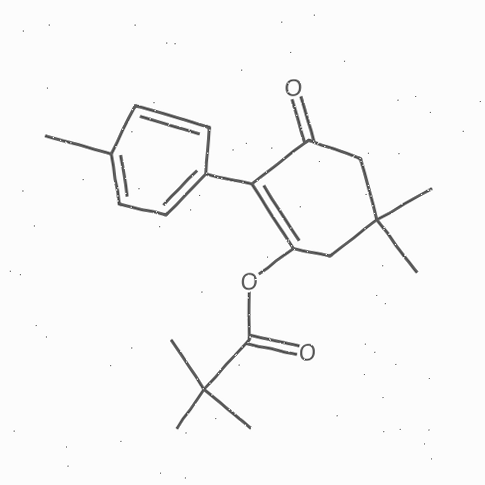 Cc1ccc(C2=C(OC(=O)C(C)(C)C)CC(C)(C)CC2=O)cc1